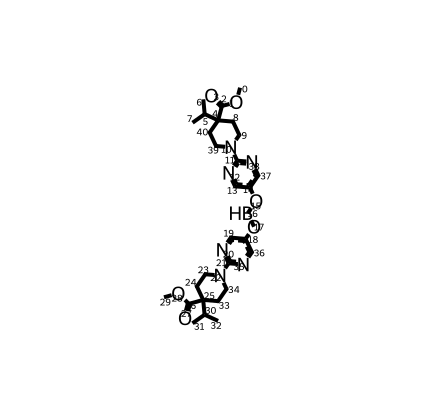 COC(=O)C1(C(C)C)CCN(c2ncc(OBOc3cnc(N4CCC(C(=O)OC)(C(C)C)CC4)nc3)cn2)CC1